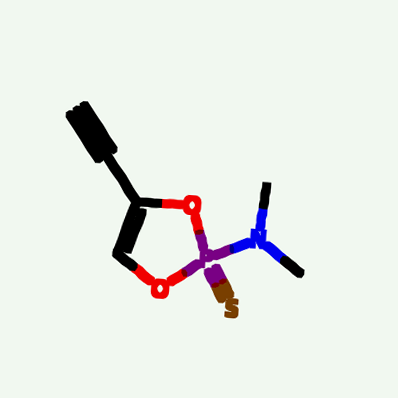 C#CC1=COP(=S)(N(C)C)O1